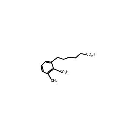 Cc1cccc(CCCCCC(=O)O)c1S(=O)(=O)O